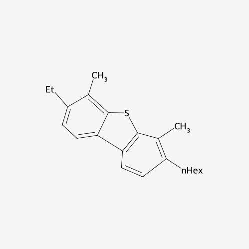 CCCCCCc1ccc2c(sc3c(C)c(CC)ccc32)c1C